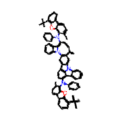 C=c1ccc(N(c2ccccc2)c2c(C)ccc3c2oc2c(C(C)(C)C)cccc23)c2c3ccccc3n2c2cc3c4ccc(N(c5ccccc5)c5c(C)ccc6c5oc5c(C(C)(C)C)cccc56)c5c6ccccc6n(c3cc12)c45